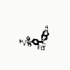 Cl.NS(=O)(=O)c1ccc(C(=O)N2CC3=C(CNC3)C2)c(F)c1